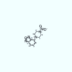 O=[N+]([O-])N1CCN(c2cccc3nonc23)CC1